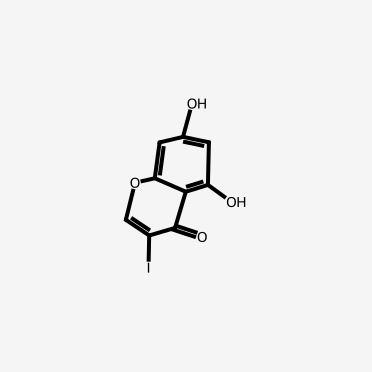 O=c1c(I)coc2cc(O)cc(O)c12